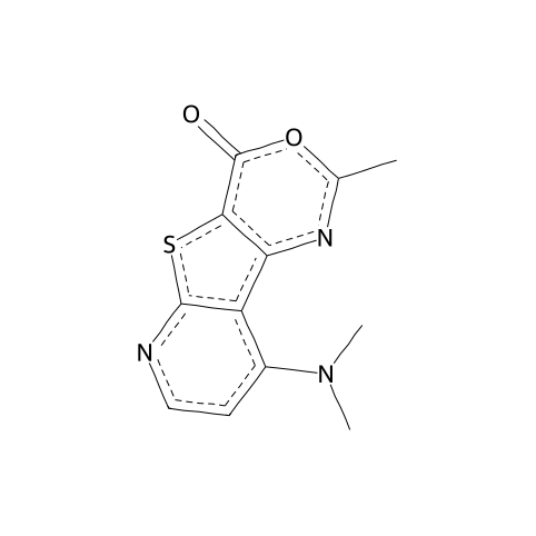 Cc1nc2c(sc3nccc(N(C)C)c32)c(=O)o1